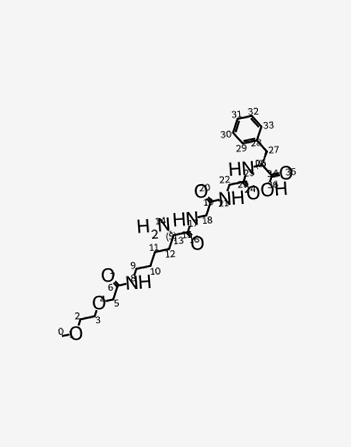 COCCOCC(=O)NCCCC[C@H](N)C(=O)NCC(=O)NCC(=O)N[C@@H](Cc1ccccc1)C(=O)O